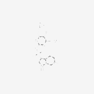 COc1nc(NS(=O)(=O)c2c[nH]c3cc(Cl)ccc23)nc(OC2CC2)c1Br